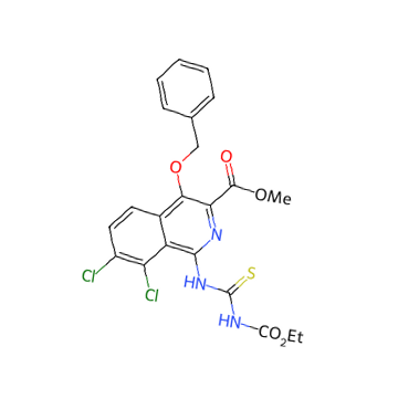 CCOC(=O)NC(=S)Nc1nc(C(=O)OC)c(OCc2ccccc2)c2ccc(Cl)c(Cl)c12